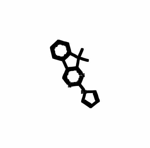 CC1(C)c2ccccc2-c2cnc([SH]3C=CC=C3)nc21